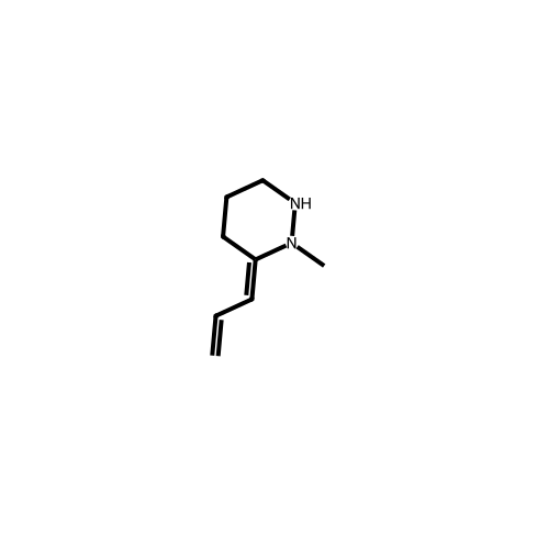 C=C/C=C1\CCCNN1C